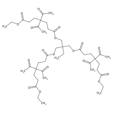 CCOC(=O)CCC(CCC(=O)OCC(CC)(COC(=O)CCC(CCC(=O)OCC)(C(C)=O)C(C)=O)COC(=O)CCC(CCC(=O)OCC)(C(C)=O)C(C)=O)(C(C)=O)C(C)=O